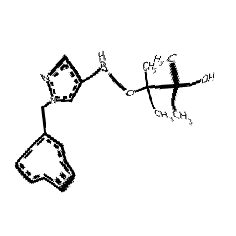 CC(C)(O)C(C)(C)OBc1cnn(Cc2ccccc2)c1